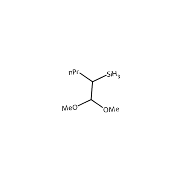 CCCC([SiH3])C(OC)OC